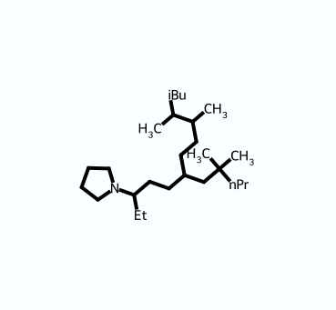 CCCC(C)(C)CC(CCC(C)C(C)C(C)CC)CCC(CC)N1CCCC1